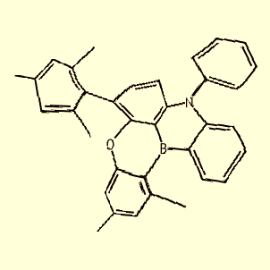 Cc1cc(C)c(-c2ccc3c4c2Oc2cc(C)cc(C)c2B4c2ccccc2N3c2ccccc2)c(C)c1